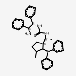 CC1CC[C@@H]([C@@H](C)NC(=S)N[C@@H](c2ccccc2)[C@@H](N)c2ccccc2)C1P(c1ccccc1)c1ccccc1